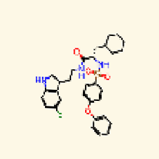 O=C(NCCC1CNc2ccc(F)cc21)[C@H](CC1CCCCC1)NS(=O)(=O)c1ccc(Oc2ccccc2)cc1